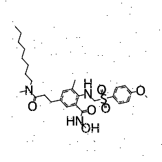 CCCCCCCCN(C)C(=O)CCc1cc(C)c(NCS(=O)(=O)c2ccc(OC)cc2)c(C(=O)NO)c1